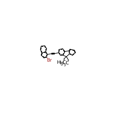 CCC1(CC)c2ccccc2-c2ccc(C#Cc3c(Br)ccc4ccccc34)cc21